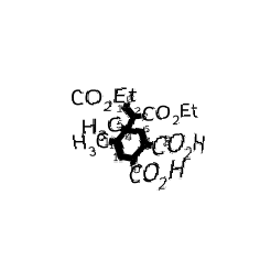 CCOC(=O)CC(C(=O)OCC)C1(C)CC(C(=O)O)C(C(=O)O)C=C1C